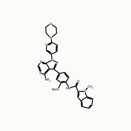 COc1cc(-c2nn(-c3ccc(N4CCOCC4)nc3)c3ncnc(N)c23)ccc1NC(=O)c1cc2ccccc2n1C